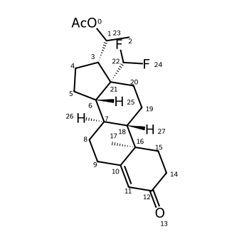 CC(=O)OC(C)[C@H]1CC[C@H]2[C@@H]3CCC4=CC(=O)CC[C@]4(C)[C@H]3CC[C@]12C(F)F